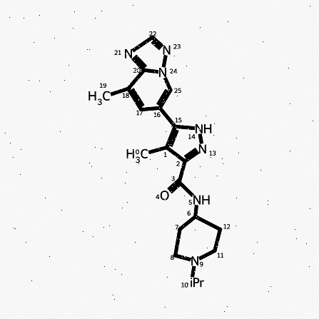 Cc1c(C(=O)NC2CCN(C(C)C)CC2)n[nH]c1-c1cc(C)c2ncnn2c1